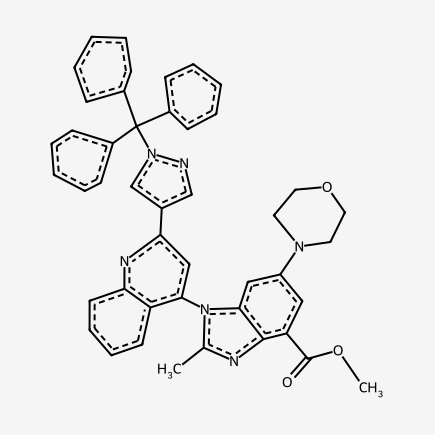 COC(=O)c1cc(N2CCOCC2)cc2c1nc(C)n2-c1cc(-c2cnn(C(c3ccccc3)(c3ccccc3)c3ccccc3)c2)nc2ccccc12